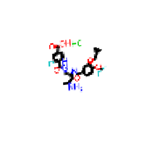 CC(N)c1oc(-c2ccc(OC(F)F)c(OCC3CC3)c2)nc1CNC(=O)c1ccc(C(=O)O)cc1F.Cl